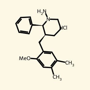 COc1cc(C)c(C)cc1C[C@@H]1CCCN(N)[C@@H]1c1ccccc1.Cl